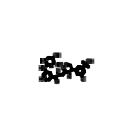 CC(C)(O)c1cc(Cl)cc([C@H](CC(=O)O)NC(=O)CNC(=O)C2=CC(NC3=NCC(O)CN3)=CNC2)c1